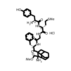 COC(=O)C1(N)C2CC3CC(C2)CC1(C(=O)[C@H](Cc1ccccc1)NC(=O)CNC(=O)[C@@H](CCSC)NC(=O)[C@@H](N)Cc1ccc(O)cc1)C3.Cl